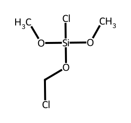 CO[Si](Cl)(OC)OCCl